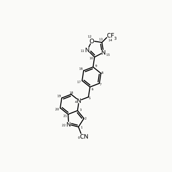 N#Cc1cc2n(Cc3ccc(-c4noc(C(F)(F)F)n4)cc3)cccc-2n1